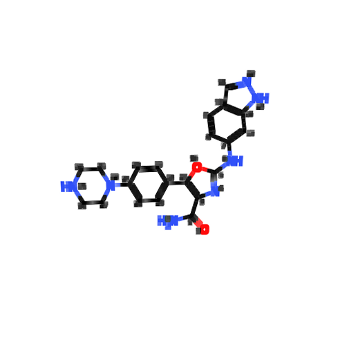 NC(=O)c1nc(Nc2ccc3cn[nH]c3c2)oc1-c1ccc(N2CCNCC2)cc1